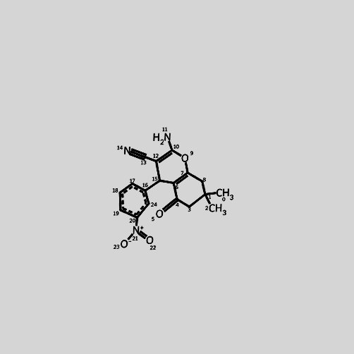 CC1(C)CC(=O)C2=C(C1)OC(N)=C(C#N)C2c1cccc([N+](=O)[O-])c1